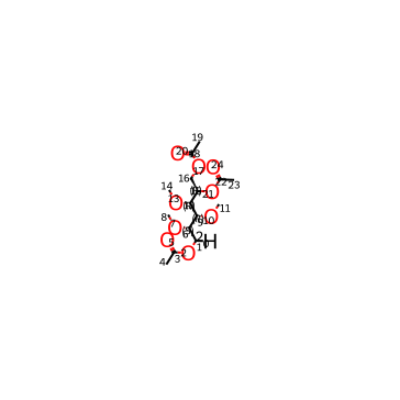 [2H]C(OC(C)=O)[C@H](OC)[C@@H](OC)[C@H](OC)[C@@H](COC(C)=O)OC(C)=O